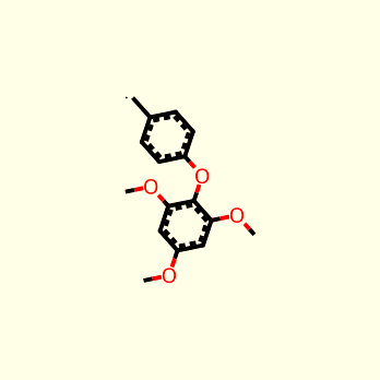 [CH2]c1ccc(Oc2c(OC)cc(OC)cc2OC)cc1